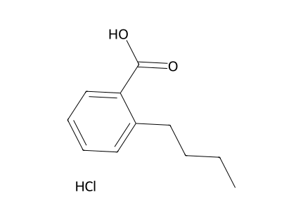 CCCCc1ccccc1C(=O)O.Cl